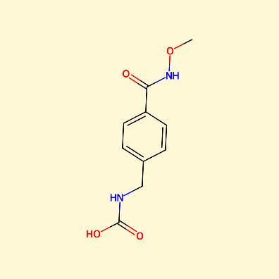 CONC(=O)c1ccc(CNC(=O)O)cc1